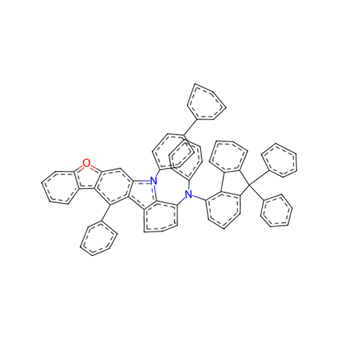 c1ccc(-c2ccc(-n3c4cc5oc6ccccc6c5c(-c5ccccc5)c4c4cccc(N(c5ccccc5)c5cccc6c5-c5ccccc5C6(c5ccccc5)c5ccccc5)c43)cc2)cc1